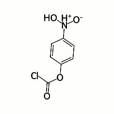 O=C(Cl)Oc1ccc([NH+]([O-])O)cc1